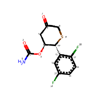 NC(=O)O[C@H]1CC(=O)CS[C@@H]1c1cc(F)ccc1F